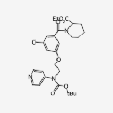 CCOC(=O)C1CCCCN1C(=O)c1cc(Cl)cc(OCCN(C(=O)OC(C)(C)C)c2ccncc2)c1